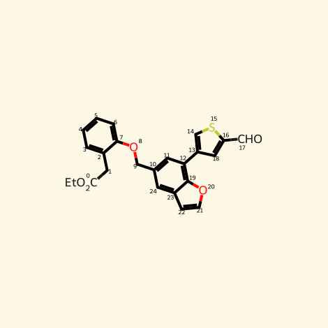 CCOC(=O)Cc1ccccc1OCc1cc(-c2csc(C=O)c2)c2occc2c1